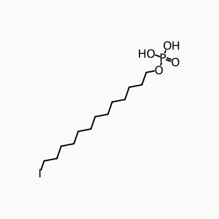 O=P(O)(O)OCCCCCCCCCCCCCI